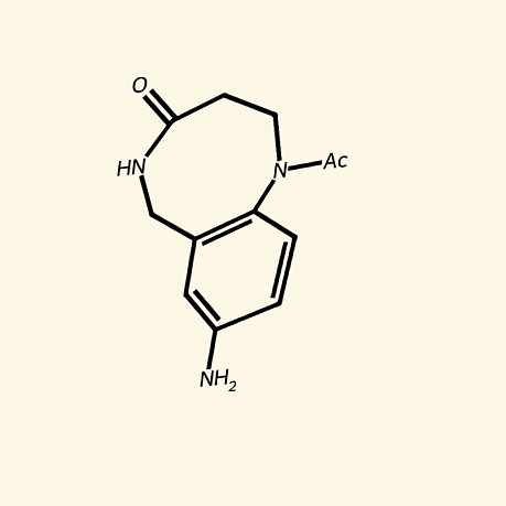 CC(=O)N1CCC(=O)NCc2cc(N)ccc21